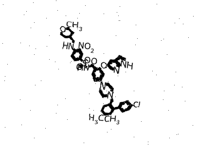 CC1CC(CNc2ccc(S(=O)(=O)NC(=O)c3ccc(N4CCN(CC5=C(c6ccc(Cl)cc6)CC(C)(C)CC5)CC4)cc3Oc3cnc4[nH]ccc4c3)cc2[N+](=O)[O-])CCO1